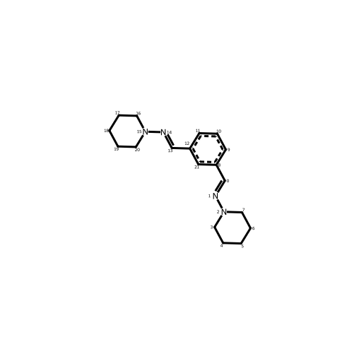 C(=NN1CCCCC1)c1cccc(C=NN2CCCCC2)c1